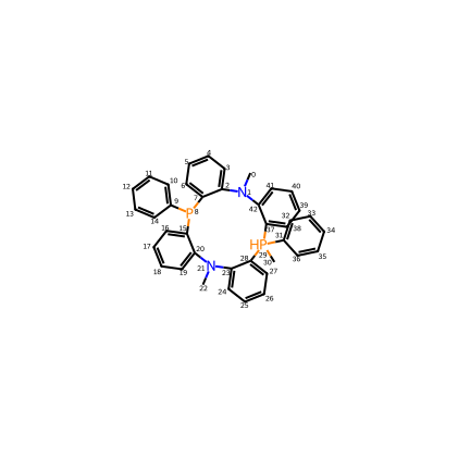 CN1c2ccccc2P(c2ccccc2)c2ccccc2N(C)c2ccccc2[PH](C)(c2ccccc2)c2ccccc21